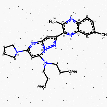 COCCN(CCOC)c1cc(N2CCCC2)nc2cc(-c3nc4cc(C)ccc4nc3C)nn12